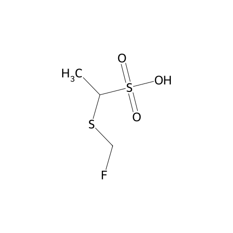 CC(SCF)S(=O)(=O)O